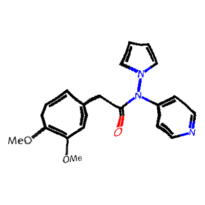 COc1ccc(CC(=O)N(c2ccncc2)n2cccc2)cc1OC